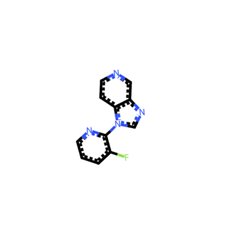 Fc1cccnc1-n1cnc2cnccc21